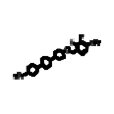 CCCc1ccc(COC2CCC(C3CCC(C4CCC(CCC)CC4)CC3)CC2)c(F)c1F